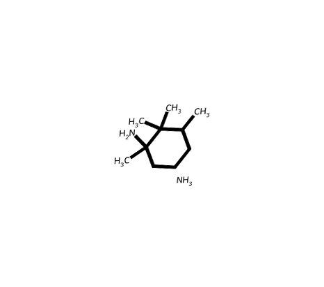 CC1CCCC(C)(N)C1(C)C.N